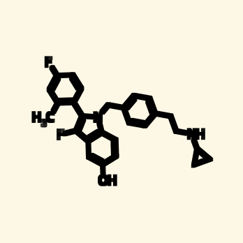 Cc1cc(F)ccc1-c1c(F)c2cc(O)ccc2n1Cc1ccc(CCNC2CC2)cc1